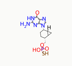 Nc1nc2c(ncn2[C@H]2CC[C@@H](COP(=O)(O)S)C3C[C@H]32)c(=O)[nH]1